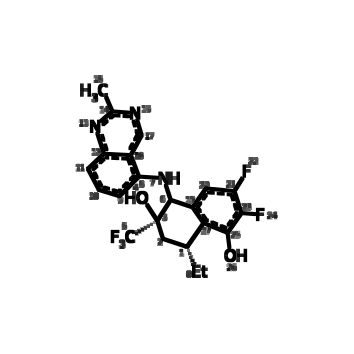 CC[C@@H]1C[C@](O)(C(F)(F)F)C(Nc2cccc3nc(C)ncc23)c2cc(F)c(F)c(O)c21